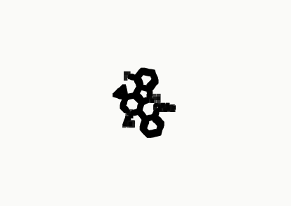 COc1ccccc1C1c2[nH]c3cccc(F)c3c2C2(CC2)CN1C(C)=O